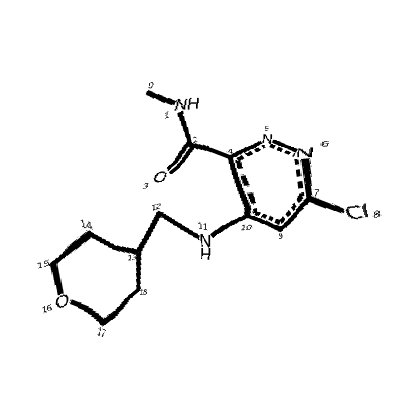 CNC(=O)c1nnc(Cl)cc1NCC1CCOCC1